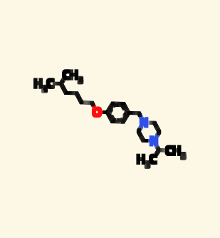 CC(C)CCCCOc1ccc(CN2CCN(C(C)C)CC2)cc1